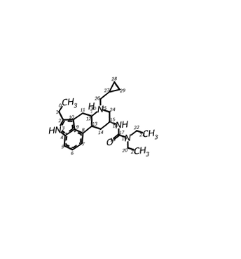 CCc1[nH]c2cccc3c2c1C[C@@H]1C3C[C@H](NC(=O)N(CC)CC)CN1CC1CC1